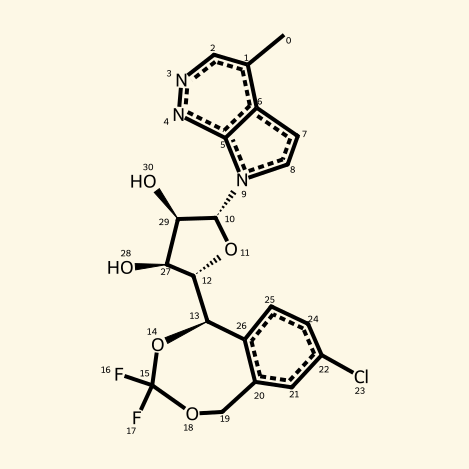 Cc1cnnc2c1ccn2[C@@H]1O[C@H]([C@@H]2OC(F)(F)OCc3cc(Cl)ccc32)[C@@H](O)[C@H]1O